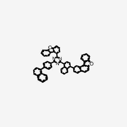 c1ccc2c(-c3ccc(-c4nc(-c5ccc(-c6ccc7ccc8oc9ccccc9c8c7c6)c6ccccc56)nc(-c5cccc6oc7ccccc7c56)n4)cc3)cccc2c1